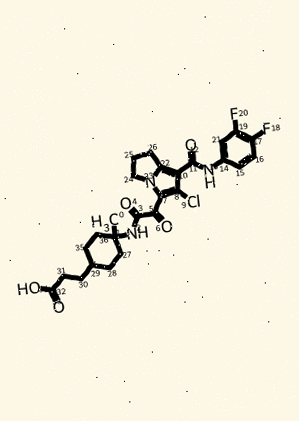 CC1(NC(=O)C(=O)c2c(Cl)c(C(=O)Nc3ccc(F)c(F)c3)c3n2CCC3)CCC(CCC(=O)O)CC1